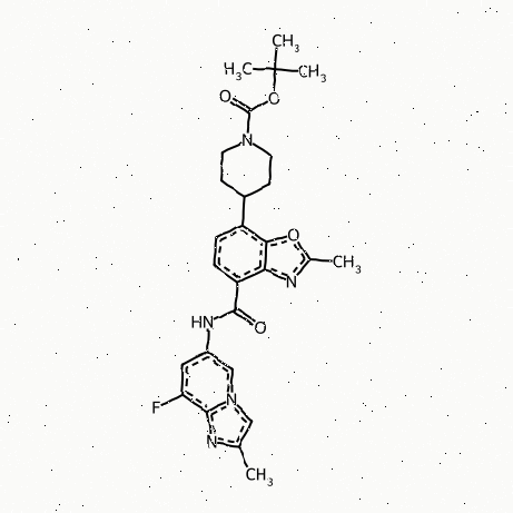 Cc1cn2cc(NC(=O)c3ccc(C4CCN(C(=O)OC(C)(C)C)CC4)c4oc(C)nc34)cc(F)c2n1